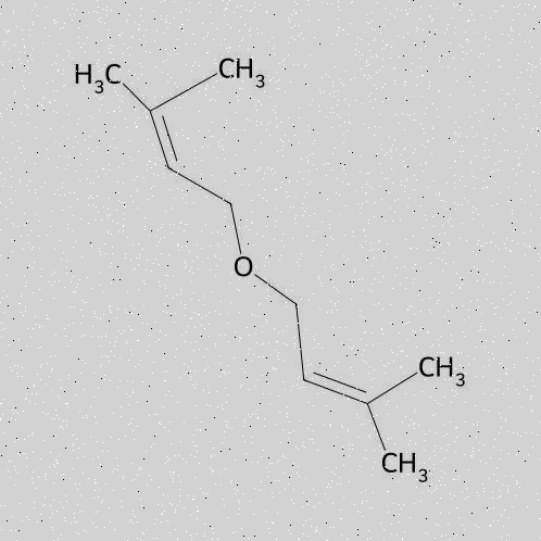 CC(C)=CCOCC=C(C)C